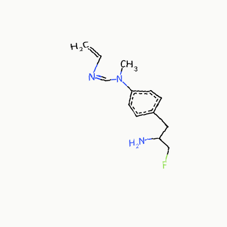 C=C/N=C\N(C)c1ccc(CC(N)CF)cc1